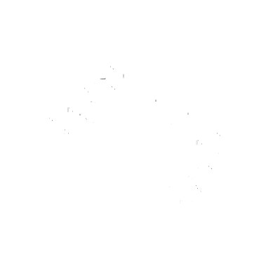 CC(C)[C@@H](NC1=NCCN1)C(=O)N1CCC[C@H]1c1ncc(-c2ccc(-c3ccc(-c4cnc([C@@H]5CCCN5C(=O)[C@H](C5CC5)N(C)C(=O)O)[nH]4)cc3)cc2)[nH]1